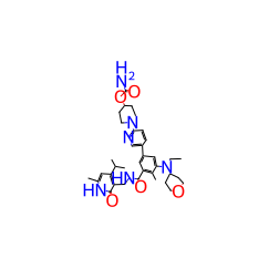 CCN(c1cc(-c2ccc(N3CCC(OC(N)=O)CC3)nc2)cc(C(=O)NCc2c(C(C)C)cc(C)[nH]c2=O)c1C)C1CCOCC1